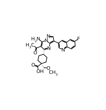 COC[C@]1(C(=O)O)CC[C@H](c2nc3c(-c4cnc5ccc(F)cc5c4)cnn3c(N)c2C(C)=O)CC1